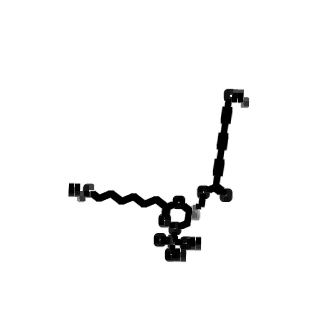 CC#CC#CC#CC(=O)OC[C@H](COP(=O)(O)O)OC(=O)CCCCCCC